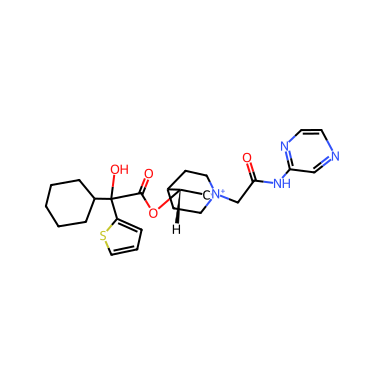 O=C(C[N+]12CCC(CC1)[C@@H](OC(=O)C(O)(c1cccs1)C1CCCCC1)C2)Nc1cnccn1